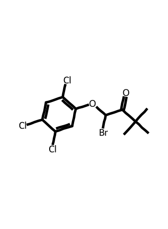 CC(C)(C)C(=O)C(Br)Oc1cc(Cl)c(Cl)cc1Cl